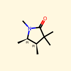 C[C@@H]1[C@H](C)C(C)(C)C(=O)N1C